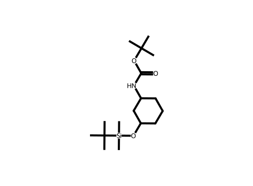 CC(C)(C)OC(=O)NC1CCCC(O[Si](C)(C)C(C)(C)C)C1